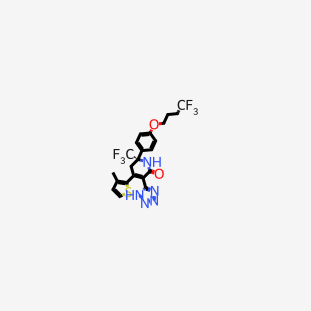 Cc1ccsc1C1=C(c2nnn[nH]2)C(=O)N[C@@](c2ccc(OCCCC(F)(F)F)cc2)(C(F)(F)F)C1